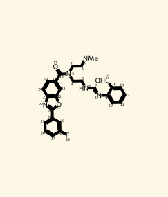 CNCCN(CCN/C=N/c1ccccc1C=O)C(=O)c1ccc2nc(-c3cccc(F)c3)oc2c1